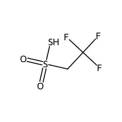 O=S(=O)(S)CC(F)(F)F